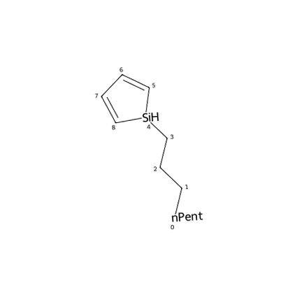 CCCCCCCC[SiH]1C=CC=C1